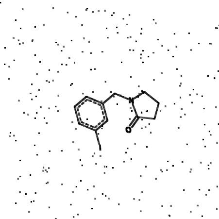 O=C1CCCN1Cc1cccc(I)c1